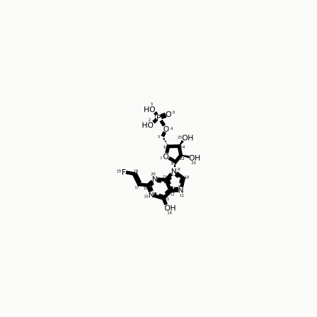 O=P(O)(O)OC[C@H]1O[C@@H](n2cnc3c(O)nc(C=CF)nc32)[C@H](O)[C@@H]1O